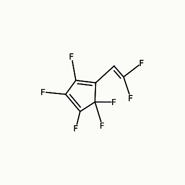 FC(F)=CC1=C(F)C(F)=C(F)C1(F)F